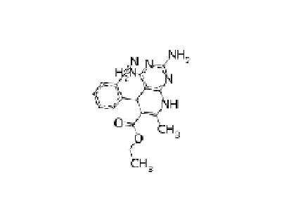 CCOC(=O)C1=C(C)Nc2nc(N)nc(N)c2C1c1ccccc1C#N